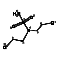 NS(=O)(=O)N(CCCl)CCCl